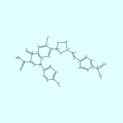 O=C(O)c1cn(-c2ccc(F)cc2)c2cc(N3CCC(N=Cc4ccc([N+](=O)[O-])cc4)C3)c(F)cc2c1=O